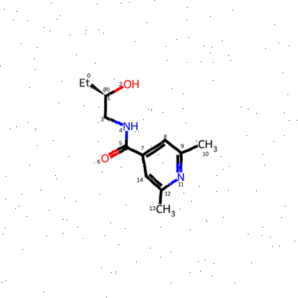 CC[C@@H](O)CNC(=O)c1cc(C)nc(C)c1